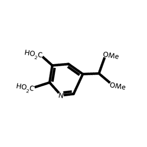 COC(OC)c1cnc(C(=O)O)c(C(=O)O)c1